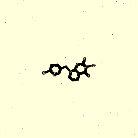 CCCn1c(=O)nc2n(Cc3ccc(Cl)nc3)cccc-2c1=O